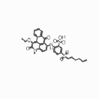 CCCCCCS(=O)(=O)c1ccc(Nc2ccc3c4c2C(=O)c2ccccc2-c4c(OCC)c(=O)n3C)c(S(=O)(=O)O)c1